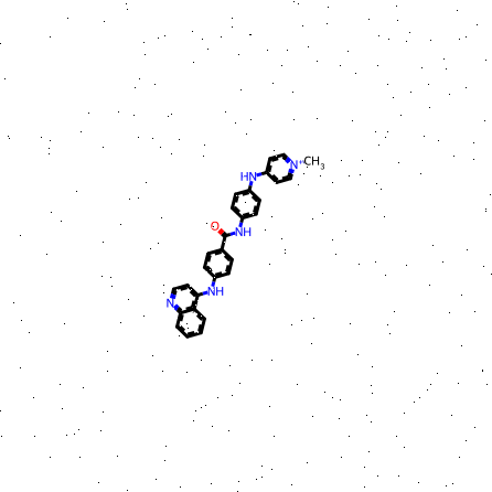 C[n+]1ccc(Nc2ccc(NC(=O)c3ccc(Nc4ccnc5ccccc45)cc3)cc2)cc1